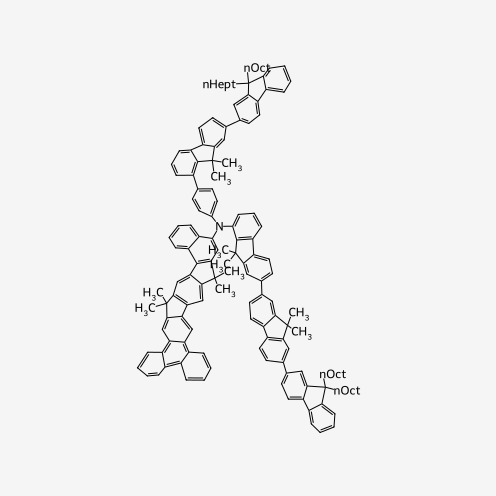 CCCCCCCCC1(CCCCCCC)c2ccccc2-c2ccc(-c3ccc4c(c3)C(C)(C)c3c(-c5ccc(N(c6cccc7c6C(C)(C)c6cc(-c8ccc9c(c8)C(C)(C)c8cc(-c%10ccc%11c(c%10)C(CCCCCCCC)(CCCCCCCC)c%10ccccc%10-%11)ccc8-9)ccc6-7)c6cc7c(c8ccccc68)-c6cc8c(cc6C7(C)C)-c6cc7c9ccccc9c9ccccc9c7cc6C8(C)C)cc5)cccc3-4)cc21